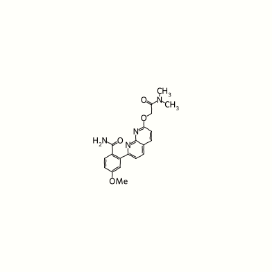 COc1ccc(C(N)=O)c(-c2ccc3ccc(OCC(=O)N(C)C)nc3n2)c1